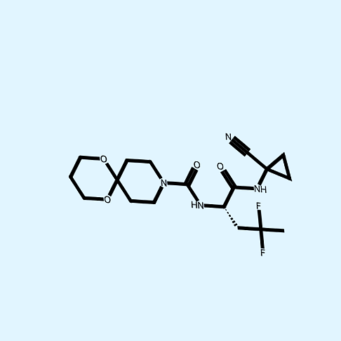 CC(F)(F)C[C@H](NC(=O)N1CCC2(CC1)OCCCO2)C(=O)NC1(C#N)CC1